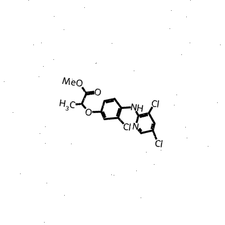 COC(=O)C(C)Oc1ccc(Nc2ncc(Cl)cc2Cl)c(Cl)c1